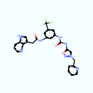 O=C(Cc1c[nH]c2cccnc12)Nc1cc(NC(=O)[N-]c2c[n+](Cc3ccccn3)no2)cc(C(F)(F)F)c1